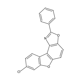 Clc1ccc2c(c1)oc1ccc3oc(-c4ccccc4)nc3c12